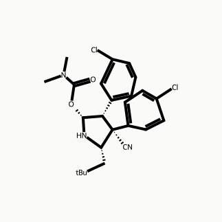 CN(C)C(=O)O[C@H]1N[C@@H](CC(C)(C)C)[C@](C#N)(c2ccc(Cl)cc2)[C@H]1c1cccc(Cl)c1